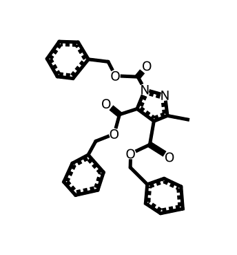 Cc1nn(C(=O)OCc2ccccc2)c(C(=O)OCc2ccccc2)c1C(=O)OCc1ccccc1